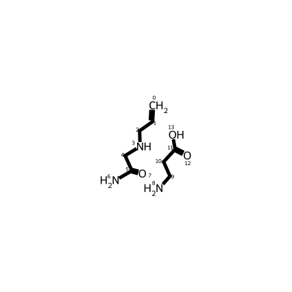 C=CCNCC(N)=O.NCCC(=O)O